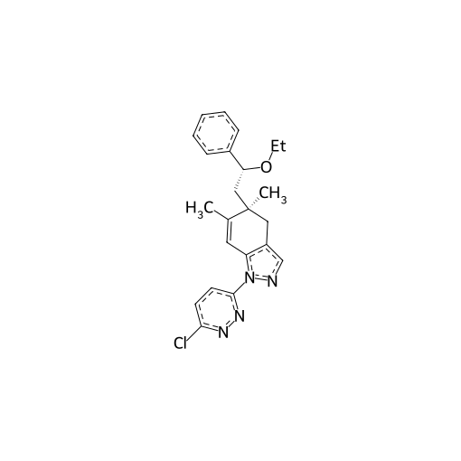 CCO[C@H](C[C@@]1(C)Cc2cnn(-c3ccc(Cl)nn3)c2C=C1C)c1ccccc1